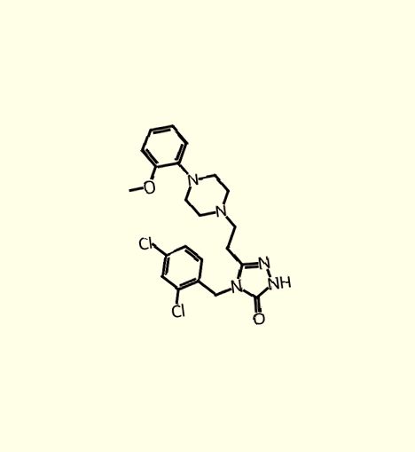 COc1ccccc1N1CCN(CCc2n[nH]c(=O)n2Cc2ccc(Cl)cc2Cl)CC1